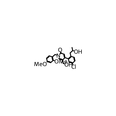 COc1ccc(Cn2cc(CO)c(-c3cc(Cl)ccc3CC(C)O)cc2=O)c(OC)c1